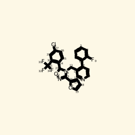 Fc1ccccc1-c1ccncc1CN1C(c2ccco2)=NOC1c1ccc(Cl)cc1C(F)(F)F